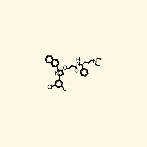 CCN(CC)CCC[C@H](NC(=O)CCOc1cc(-c2cc(Cl)cc(Cl)c2)nn1-c1ccc2ccccc2c1)c1ccccc1